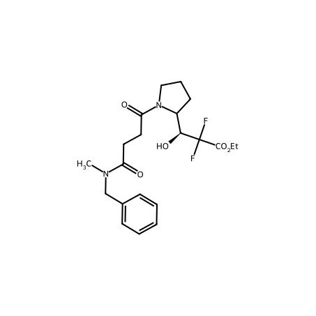 CCOC(=O)C(F)(F)[C@@H](O)C1CCCN1C(=O)CCC(=O)N(C)Cc1ccccc1